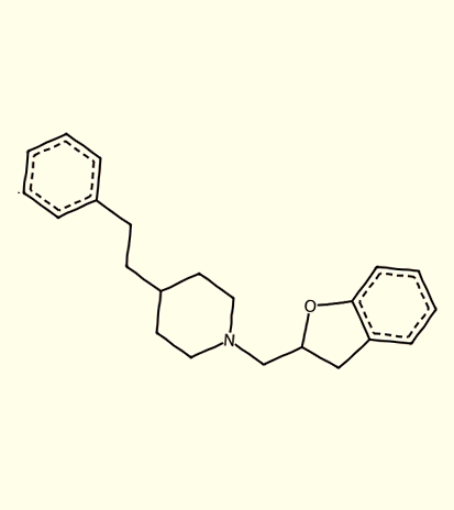 [c]1cccc(CCC2CCN(CC3Cc4ccccc4O3)CC2)c1